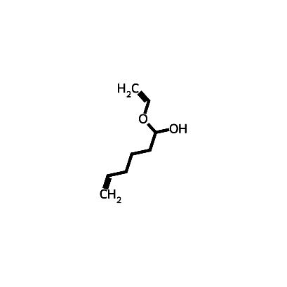 C=CCCCC(O)OC=C